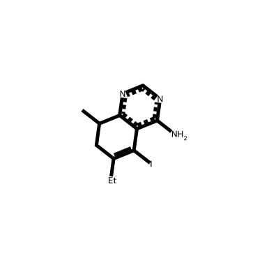 CCC1=C(I)c2c(N)ncnc2C(C)C1